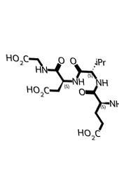 CC(C)[C@H](NC(=O)[C@@H](N)CCC(=O)O)C(=O)N[C@@H](CC(=O)O)C(=O)NCC(=O)O